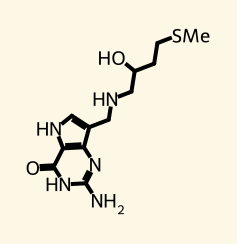 CSCCC(O)CNCc1c[nH]c2c(=O)[nH]c(N)nc12